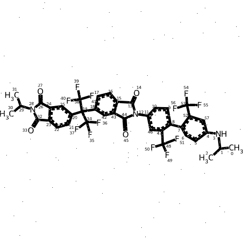 CC(C)Nc1ccc(-c2ccc(N3C(=O)c4ccc(C(c5ccc6c(c5)C(=O)N(C(C)C)C6=O)(C(F)(F)F)C(F)(F)F)cc4C3=O)cc2C(F)(F)F)c(C(F)(F)F)c1